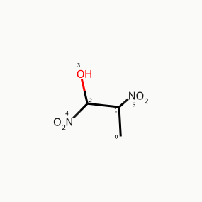 CC(C(O)[N+](=O)[O-])[N+](=O)[O-]